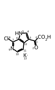 O=C(O)C(=O)c1c[nH]c2c(Cl)nccc12.[K]